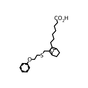 O=C(O)CCCCCCC1C2CCC(O2)C1CSCCOc1ccccc1